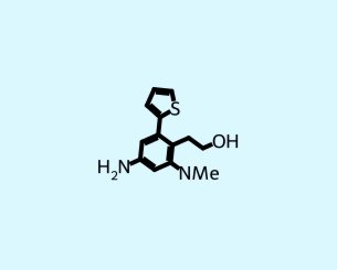 CNc1cc(N)cc(-c2cccs2)c1CCO